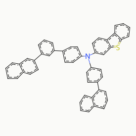 c1cc(-c2ccc(N(c3ccc(-c4cccc5ccccc45)cc3)c3ccc4c(c3)sc3ccccc34)cc2)cc(-c2ccc3ccccc3c2)c1